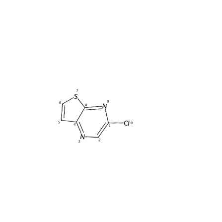 Clc1cnc2ccsc2n1